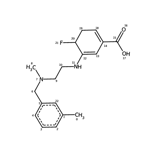 Cc1cccc(CN(C)CCNC2=CC(C(=O)O)=CCC2F)c1